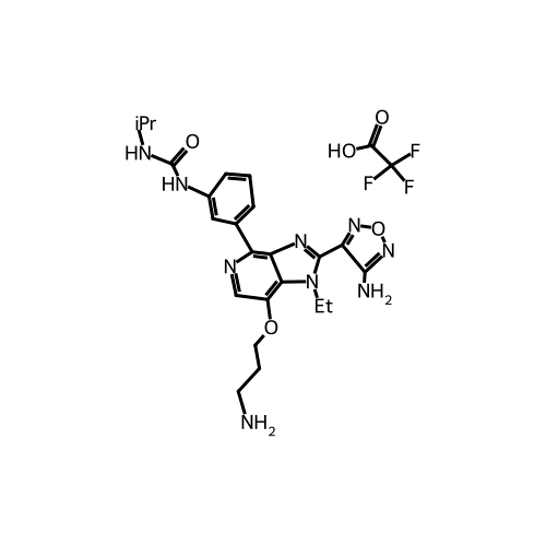 CCn1c(-c2nonc2N)nc2c(-c3cccc(NC(=O)NC(C)C)c3)ncc(OCCCN)c21.O=C(O)C(F)(F)F